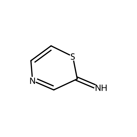 N=c1cnccs1